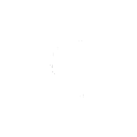 COc1cc(F)c(-c2c(Cl)nnc(C)c2Cc2ccc(Cl)cc2)c(F)c1